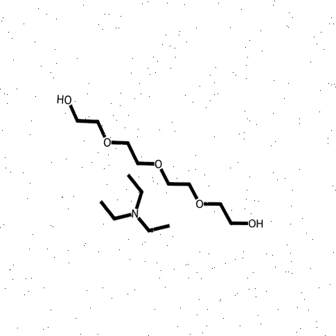 CCN(CC)CC.OCCOCCOCCOCCO